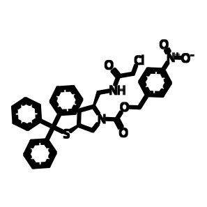 O=C(CCl)NC[C@@H]1C[C@H](SC(c2ccccc2)(c2ccccc2)c2ccccc2)CN1C(=O)OCc1ccc([N+](=O)[O-])cc1